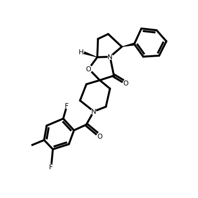 Cc1cc(F)c(C(=O)N2CCC3(CC2)O[C@@H]2CC[C@@H](c4ccccc4)N2C3=O)cc1F